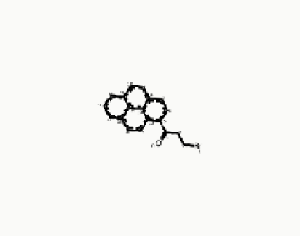 O=C(CCBr)c1ccc2ccc3cccc4ccc1c2c34